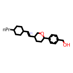 CCCC1CCC(/C=C/C2CCC(c3ccc(CO)cc3)OC2)CC1